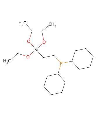 CCO[Si](CCP(C1CCCCC1)C1CCCCC1)(OCC)OCC